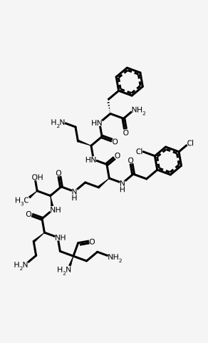 C[C@@H](O)[C@H](NC(=O)[C@H](CCN)NC[C@](N)(C=O)CCN)C(=O)NCC[C@H](NC(=O)Cc1ccc(Cl)cc1Cl)C(=O)N[C@@H](CCN)C(=O)N[C@H](Cc1ccccc1)C(N)=O